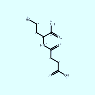 O=C(O)CCC(=S)NC(CCS)C(=O)O